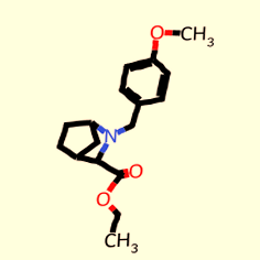 CCOC(=O)C1C2CCC(C2)N1Cc1ccc(OC)cc1